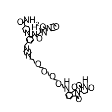 NC(=O)C1CCN(c2cc(CN3CCN(CCCOCCOCCOCCOCCNc4cccc5c4C(=O)N(C4CCC(=O)NC4=O)C5=O)CC3)ccc2NC(=O)c2coc(N3CCOCC3)n2)CC1